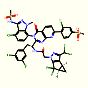 Cn1nc(NS(C)(=O)=O)c2c(Cl)ccc(-n3c([C@H](Cc4cc(F)cc(F)c4)NC(=O)Cn4nc(C(F)F)c5c4C(F)(F)[C@@H]4C[C@H]54)nc4nc(-c5ccc(S(C)(=O)=O)cc5F)ccc4c3=O)c21